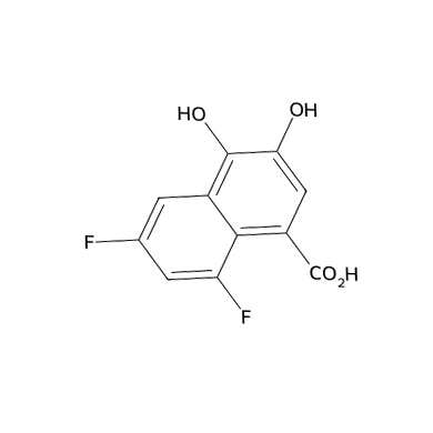 O=C(O)c1cc(O)c(O)c2cc(F)cc(F)c12